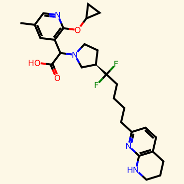 Cc1cnc(OC2CC2)c(C(C(=O)O)N2CC[C@@H](C(F)(F)CCCCc3ccc4c(n3)NCCC4)C2)c1